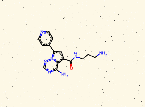 NCCCNC(=O)c1cc(-c2ccncc2)n2ncnc(N)c12